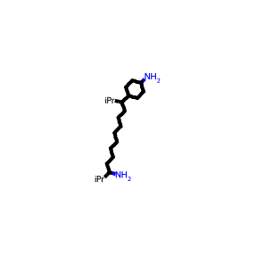 CC(C)C(N)CCCCCCCCC(C(C)C)C1CCC(N)CC1